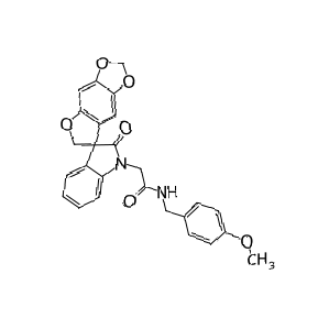 COc1ccc(CNC(=O)CN2C(=O)C3(COc4cc5c(cc43)OCO5)c3ccccc32)cc1